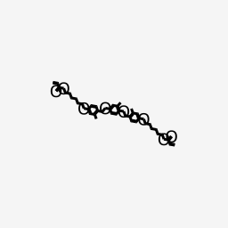 C=CC(=O)OCCCCCCOc1ccc(COc2ccc(OCc3ccc(OCCCCCCOC(=O)C=C)cc3C)c(C)c2)c(C)c1